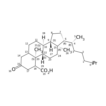 CC(C)CCC[C@@H](C)[C@H]1CC[C@H]2[C@@H]3CCC4CC(=O)CC(C(=O)O)[C@]4(C)[C@H]3CC[C@]12C